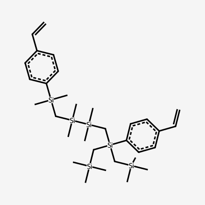 C=Cc1ccc([Si](C)(C)C[Si](C)(C)[Si](C)(C)C[Si](C[Si](C)(C)C)(C[Si](C)(C)C)c2ccc(C=C)cc2)cc1